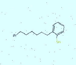 CC(C)CCCCCCc1ccccc1S